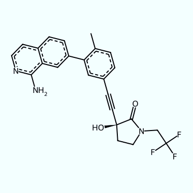 Cc1ccc(C#C[C@@]2(O)CCN(CC(F)(F)F)C2=O)cc1-c1ccc2ccnc(N)c2c1